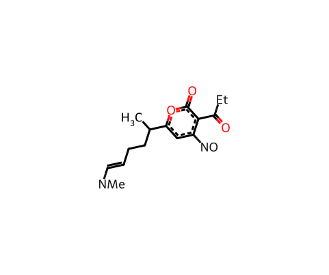 CCC(=O)c1c(N=O)cc(C(C)CC/C=C/NC)oc1=O